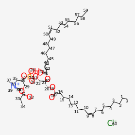 CCCCCCCC/C=C\CCCCCCCC(=O)OC[C@H](COP(=O)(O)OC(COC(=O)CC)C[N+](C)(C)C)OC(=O)CCCCCCC/C=C\CCCCCCCC.[Cl-]